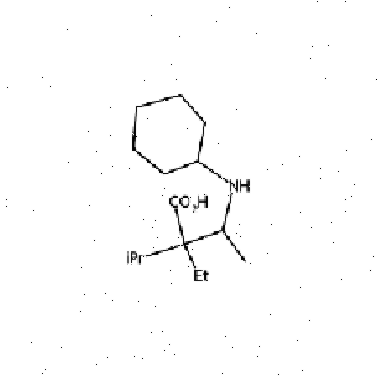 CCC(C(=O)O)(C(C)C)C(C)NC1CCCCC1